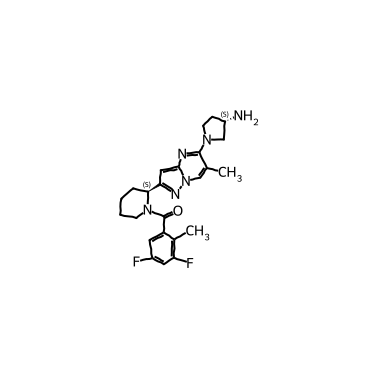 Cc1cn2nc([C@@H]3CCCCN3C(=O)c3cc(F)cc(F)c3C)cc2nc1N1CC[C@H](N)C1